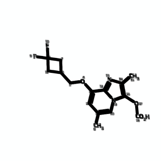 Cc1cc(OCC2CC(F)(F)C2)c2nc(C)c(OC(=O)O)n2c1